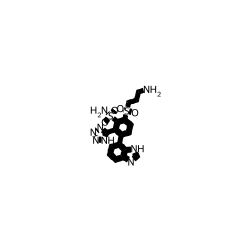 NCCCS(=O)(=O)c1ccc(-c2cccc3nc[nH]c23)c(-c2nnn[nH]2)c1S(N)(=O)=O